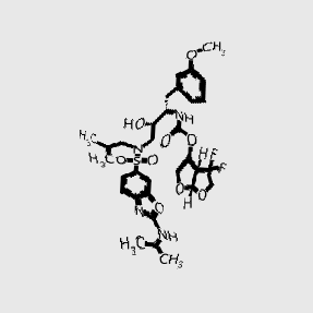 COc1cccc(C[C@H](NC(=O)OC2CO[C@H]3OCC(F)(F)[C@@H]23)[C@H](O)CN(CC(C)C)S(=O)(=O)c2ccc3nc(NC(C)C)oc3c2)c1